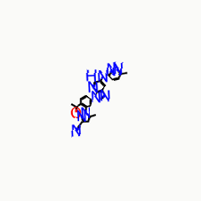 CC(=O)c1ccc(-n2cnc3cc(Nc4ccc(C)nn4)cnc32)cc1-n1nc(C#N)cc1C